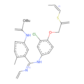 C=C/N=C(/Nc1ccc(OCC(=C)S/C=C\C)c(Cl)c1)c1cc(NC(=C)OCC(C)C)ccc1C